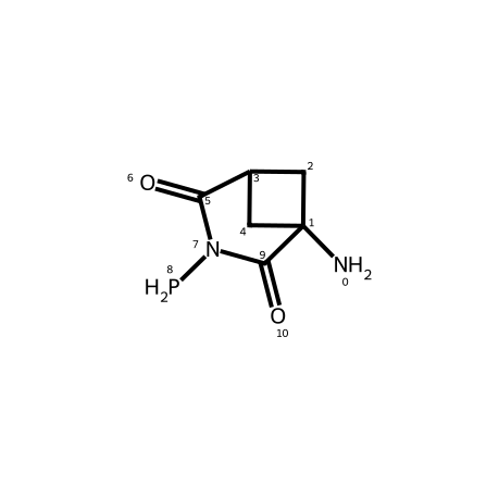 NC12CC(C1)C(=O)N(P)C2=O